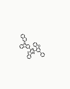 c1ccc(-c2cc(-c3nc(-c4ccc5c(c4)c4ccccc4n5-c4ccc5ccccc5c4)c4sc5ccccc5c4n3)c3c(c2)oc2ccccc23)cc1